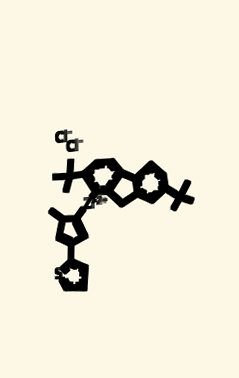 CC1C=C(c2cccs2)C=[C]1[Zr+2][c]1c(C(C)(C)C)ccc2c1Cc1cc(C(C)(C)C)ccc1-2.[Cl-].[Cl-]